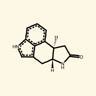 O=C1C[C@@H]2c3cccc4[nH]cc(c34)C[C@H]2N1